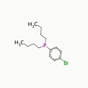 CCCCP(CCCC)c1ccc(Br)cc1